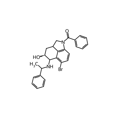 CC(NC1c2c(Br)ccc3c2C(C[C@@H]1O)CN3C(=O)c1ccccc1)c1ccccc1